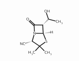 CC(O)[C@H]1C(=O)N2[C@@H]1SC(C)(C)[C@@H]2C#N